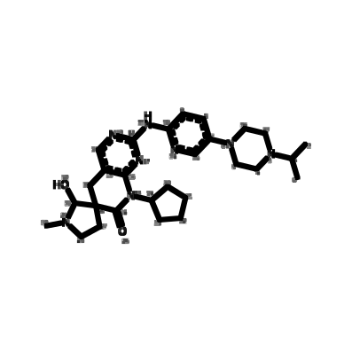 CC(C)N1CCN(c2ccc(Nc3ncc4c(n3)N(C3CCCC3)C(=O)C3(CCN(C)C3O)C4)nc2)CC1